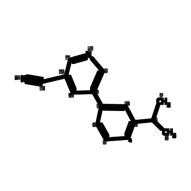 CC(C)c1cccc(-c2cncc(C#N)c2)c1